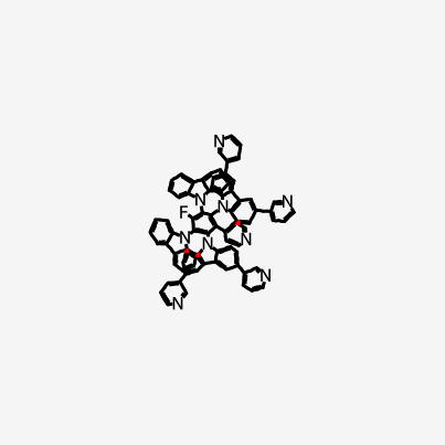 Fc1c(-n2c3ccccc3c3ccccc32)c(-n2c3ccc(-c4cccnc4)cc3c3cc(-c4cccnc4)ccc32)c(-c2ccncc2)c(-n2c3ccc(-c4cccnc4)cc3c3cc(-c4cccnc4)ccc32)c1-n1c2ccccc2c2ccccc21